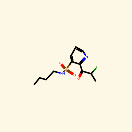 CCCCNS(=O)(=O)c1cccnc1C(=O)C(C)F